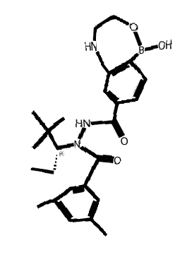 CC[C@@H](N(NC(=O)c1ccc2c(c1)NCCOB2O)C(=O)c1cc(C)cc(C)c1)C(C)(C)C